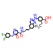 CCc1cc(Nc2ncc3cc(C=CCNC(=O)c4cncn(Cc5ccc(F)c(F)c5)c4=O)ccc3n2)ccc1C(=O)O